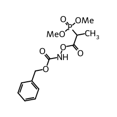 COP(=O)(OC)C(C)C(=O)ONC(=O)OCc1ccccc1